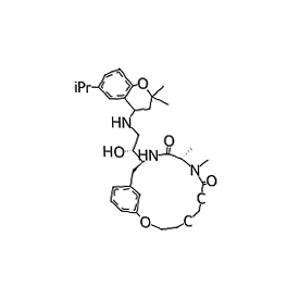 CC(C)c1ccc2c(c1)C(NC[C@@H](O)[C@@H]1Cc3cccc(c3)OCCCCCC(=O)N(C)[C@@H](C)C(=O)N1)CC(C)(C)O2